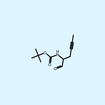 CC#CCC(C=O)NC(=O)OC(C)(C)C